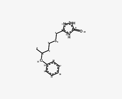 CC(CCSCc1n[nH]c(=O)[nH]1)Oc1ccccc1